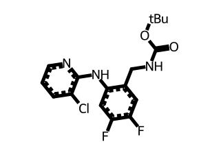 CC(C)(C)OC(=O)NCc1cc(F)c(F)cc1Nc1ncccc1Cl